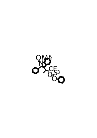 COCn1c(-c2ccccc2)c(C(C)C(OC(=S)Oc2ccccc2)C(F)(F)F)c2ccc(C)cc21